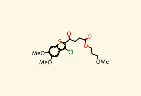 COCCCOC(=O)CCC(=O)c1sc2cc(OC)c(OC)cc2c1Cl